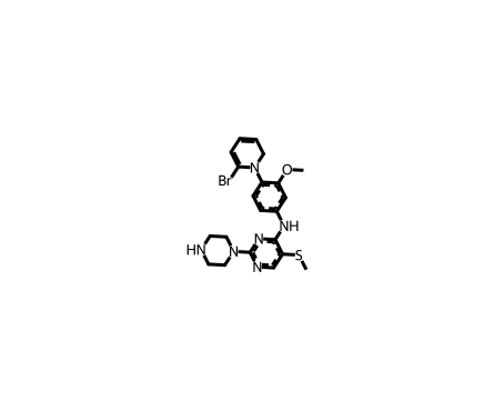 COc1cc(Nc2nc(N3CCNCC3)ncc2SC)ccc1N1CC=CC=C1Br